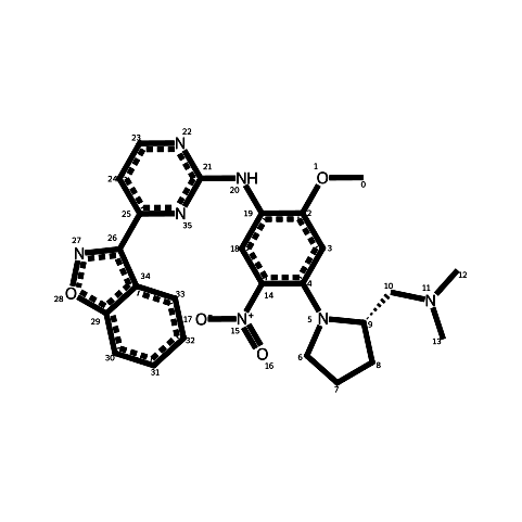 COc1cc(N2CCC[C@H]2CN(C)C)c([N+](=O)[O-])cc1Nc1nccc(-c2noc3ccccc23)n1